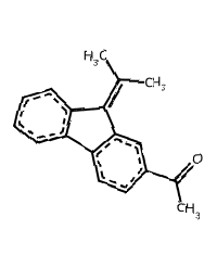 CC(=O)c1ccc2c(c1)C(=C(C)C)c1ccccc1-2